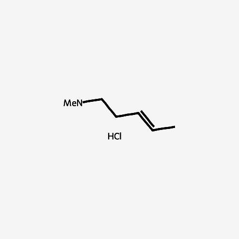 CC=CCCNC.Cl